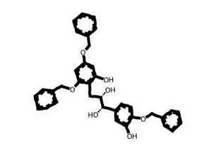 Oc1cc([C@H](O)[C@@H](O)Cc2c(O)cc(OCc3ccccc3)cc2OCc2ccccc2)ccc1OCc1ccccc1